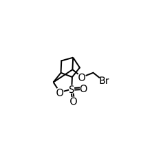 O=S1(=O)OC2C3CC(CC31)C2OCBr